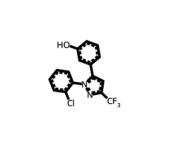 Oc1cccc(-c2cc(C(F)(F)F)nn2-c2ccccc2Cl)c1